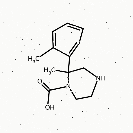 Cc1ccccc1C1(C)CNCCN1C(=O)O